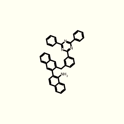 Nc1c(-c2cc3ccccc3cc2Cc2cccc(-c3nc(-c4ccccc4)nc(-c4ccccc4)n3)c2)ccc2ccccc12